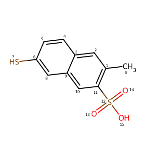 Cc1cc2ccc(S)cc2cc1S(=O)(=O)O